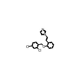 Clc1ccc(COc2ccccc2C=Cn2ccnc2)c(Cl)c1